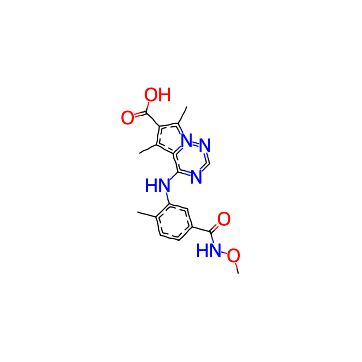 CONC(=O)c1ccc(C)c(Nc2ncnn3c(C)c(C(=O)O)c(C)c23)c1